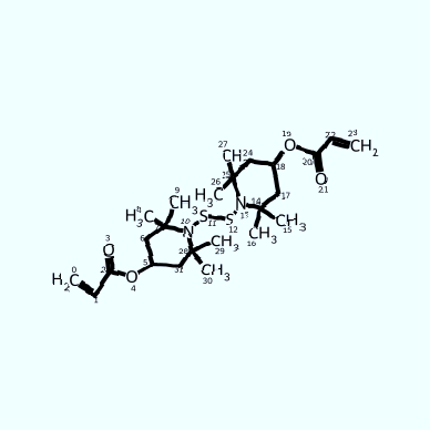 C=CC(=O)OC1CC(C)(C)N(SSN2C(C)(C)CC(OC(=O)C=C)CC2(C)C)C(C)(C)C1